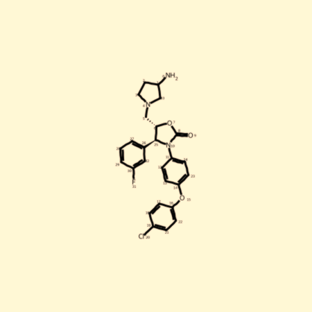 NC1CCN(C[C@@H]2OC(=O)N(c3ccc(Oc4ccc(Cl)cc4)cc3)[C@H]2c2cccc(F)c2)C1